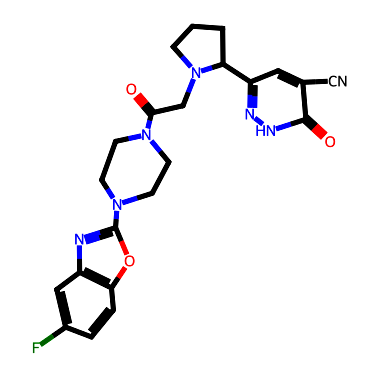 N#Cc1cc(C2CCCN2CC(=O)N2CCN(c3nc4cc(F)ccc4o3)CC2)n[nH]c1=O